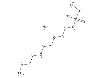 COCCOCCOCCOP(=O)([O-])OC.[Na+]